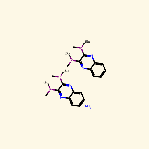 CP(c1nc2ccccc2nc1P(C)C(C)(C)C)C(C)(C)C.CP(c1nc2ccccc2nc1P(C)C(C)(C)C)C(C)(C)C.N